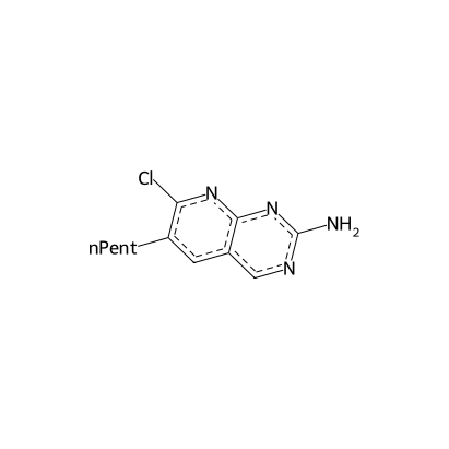 CCCCCc1cc2cnc(N)nc2nc1Cl